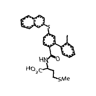 CSCCC(NC(=O)c1ccc(Sc2ccc3ccccc3c2)cc1-c1ccccc1C)C(=O)O